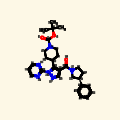 CC(C)(C)OC(=O)N1CCC(c2c(C(=O)N3CC[C@H](c4ccccc4)C3)cnn2-c2ncccn2)CC1